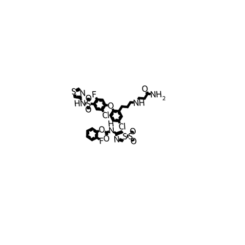 NC(=O)CCNCCCc1cc(Cl)ccc1Oc1cc(F)c(S(=O)(=O)Nc2cscn2)cc1Cl.O=C(NC1=CS(=S(=O)=O)C=N1)Oc1ccccc1F